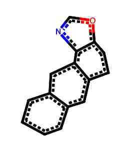 c1ccc2cc3c(ccc4ocnc43)cc2c1